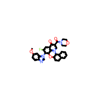 COc1ccc2ncn(-c3c(F)cc4c(=O)c(C(=O)N5CCOCC5)cn5c4c3Oc3ccc4ccccc4c3-5)c2c1